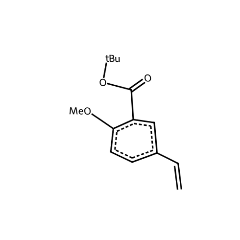 C=Cc1ccc(OC)c(C(=O)OC(C)(C)C)c1